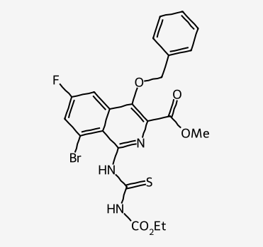 CCOC(=O)NC(=S)Nc1nc(C(=O)OC)c(OCc2ccccc2)c2cc(F)cc(Br)c12